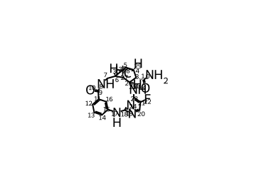 NC(=O)[C@H]1[C@@H]2C[C@H]3CNC(=O)c4cccc(c4)Nc4ncc(F)c(n4)N[C@@H]1[C@@H]3C2